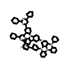 Cc1ccc2c(c1)c1cc(C)ccc1n2-c1ccc(-c2cc(-c3ccccc3)nc(-c3ccccc3)n2)cc1-c1cc(-c2ccccc2)nc(-c2cccc(-c3ccc(N4c5ccccc5B5c6ccccc6N(c6ccccc6)c6cccc4c65)cc3)c2)n1